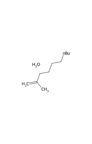 C=C(C)CCCCCCCC.O